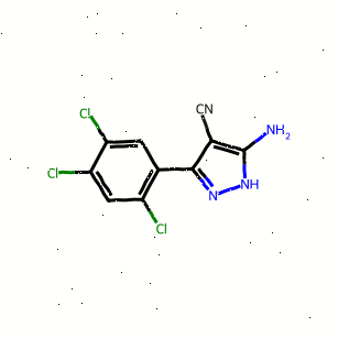 N#Cc1c(-c2cc(Cl)c(Cl)cc2Cl)n[nH]c1N